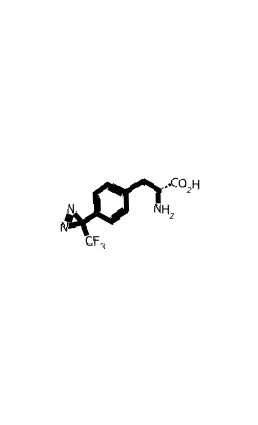 N[C@H](Cc1ccc(C2(C(F)(F)F)N=N2)cc1)C(=O)O